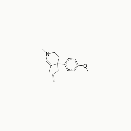 C=CCC1(c2ccc(OC)cc2)CCN(C)C=C1C